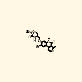 Cc1nccc2c1c(=O)[nH]c1cc(OCC(CC(C)C)NC(=O)OC(C)(C)C)c(Br)cc12